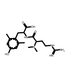 Cc1cc(O)cc(C)c1CC(NC(=O)C(CCNC(=N)N)N(C)C)C(=O)O